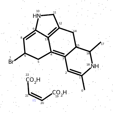 CC1=CC2=C3CC(Br)C=C4NCC(=C43)CC2C(C)N1.O=C(O)/C=C\C(=O)O